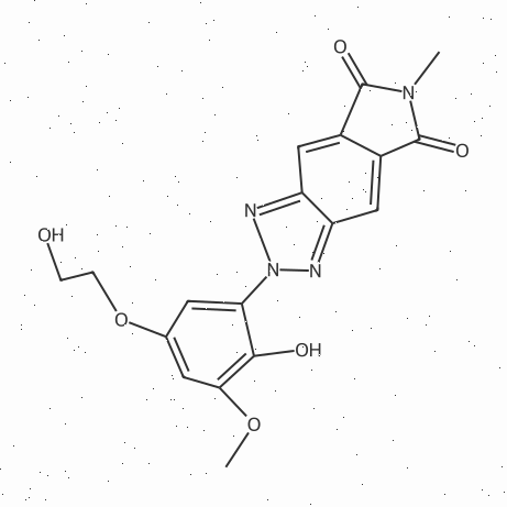 COc1cc(OCCO)cc(-n2nc3cc4c(cc3n2)C(=O)N(C)C4=O)c1O